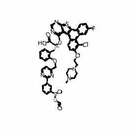 CN1CCN(CCOc2ccc3c(c2Cl)c2cc(F)ccc2c2sc4ncnc(O[C@H](Cc5ccccc5OCc5ccnc(-c6cccc(S(=O)OC=O)c6)n5)C(=O)O)c4c32)CC1